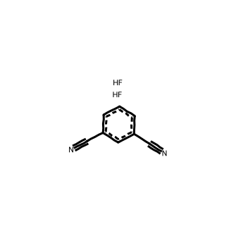 F.F.N#Cc1cccc(C#N)c1